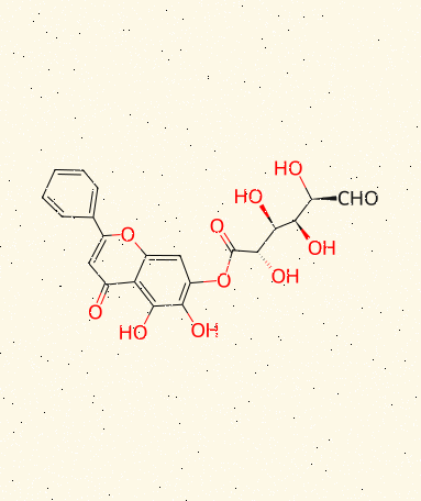 O=C[C@H](O)[C@@H](O)[C@H](O)[C@H](O)C(=O)Oc1cc2oc(-c3ccccc3)cc(=O)c2c(O)c1O